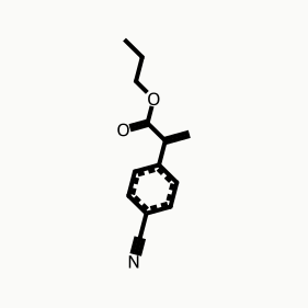 C=C(C(=O)OCCC)c1ccc(C#N)cc1